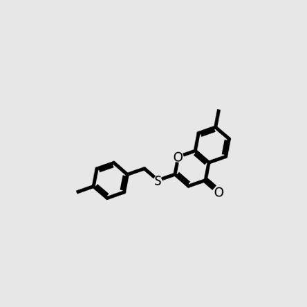 Cc1ccc(CSc2cc(=O)c3ccc(C)cc3o2)cc1